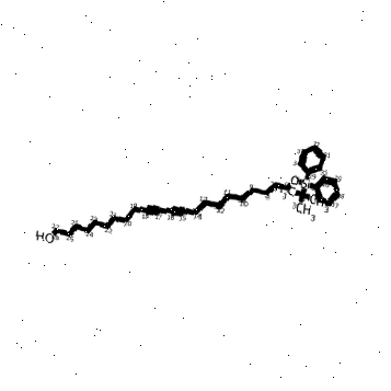 CC(C)(C)[Si](OCCCCCCCCCC#CC#CCCCCCCCCCO)(c1ccccc1)c1ccccc1